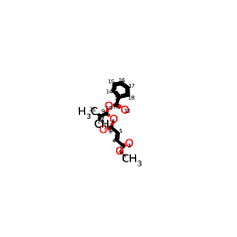 COC(=O)/C=C/C(=O)OC(OC(=O)c1ccccc1)C(C)C